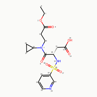 CCOC(=O)CCN(C(=O)[C@H](CC(=O)O)NS(=O)(=O)c1cccnc1)C1CC1